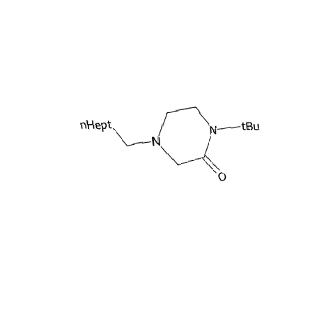 CCCCCCCCN1CCN(C(C)(C)C)C(=O)C1